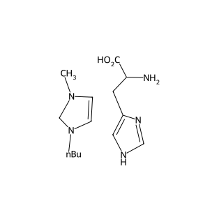 CCCCN1C=CN(C)C1.NC(Cc1c[nH]cn1)C(=O)O